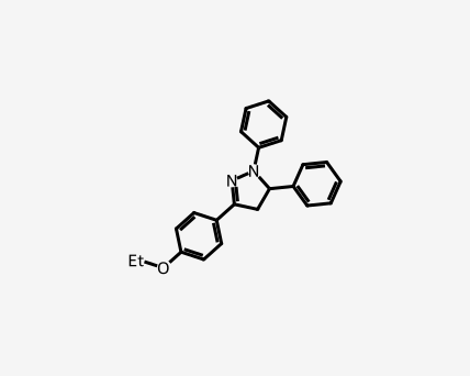 CCOc1ccc(C2=NN(c3ccccc3)C(c3ccccc3)C2)cc1